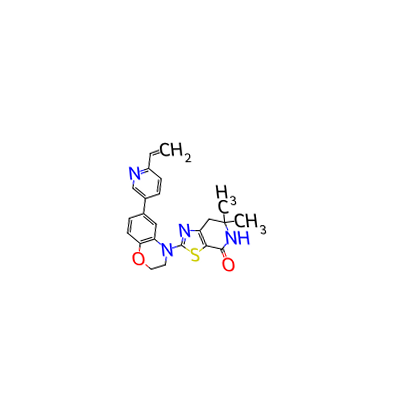 C=Cc1ccc(-c2ccc3c(c2)N(c2nc4c(s2)C(=O)NC(C)(C)C4)CCO3)cn1